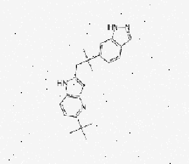 CC(C)(C)c1ccc2[nH]c(CC(C)(C)c3ccc4cn[nH]c4c3)cc2n1